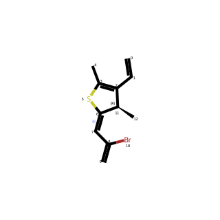 C=CC1=C(C)S/C(=C/C(=C)Br)[C@@H]1C